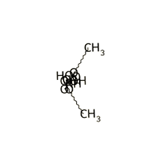 CCCCCCCCCCCCOC(=O)C(CO)NC(=O)C(O)C(O)C(=O)OCCCCCCCCCCCC